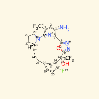 Nc1cc(C(F)(F)F)c2nc1-c1nnc(o1)[C@@](O)(C(F)(F)F)c1cc(ccc1F)CCC[C@@H]1CCCN21